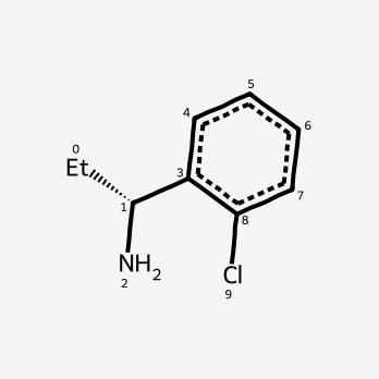 CC[C@@H](N)c1ccccc1Cl